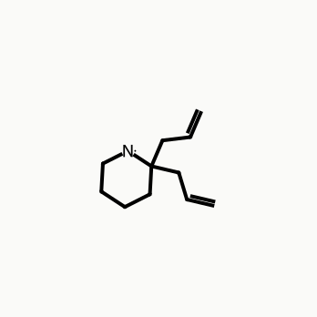 C=CCC1(CC=C)CCCC[N]1